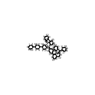 c1ccc(-c2ccc(-c3ccc(N(c4ccc(-c5cccc6ccc7c(-c8ccccc8)c8ccccc8n7c56)cc4)c4cccc5c4sc4ccccc45)cc3)cc2)cc1